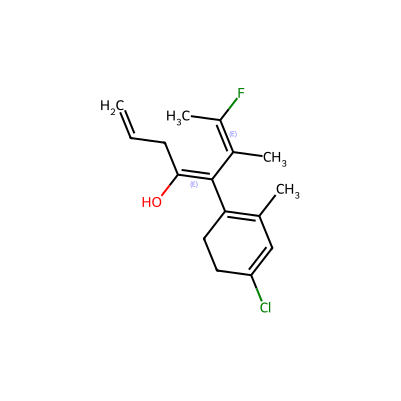 C=CC/C(O)=C(C1=C(C)C=C(Cl)CC1)\C(C)=C(/C)F